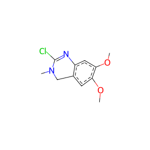 COc1cc2c(cc1OC)N=C(Cl)N(C)C2